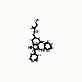 COCC(=O)NCC1CC(=O)c2c([nH]c(-c3ccncc3)c2Nc2ccccc2)C1